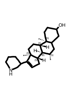 C[C@H]1CC2CC(O)CC[C@]2(C)[C@H]2CC[C@]3(C)C(C4CCCNC4)=CC[C@H]3[C@H]12